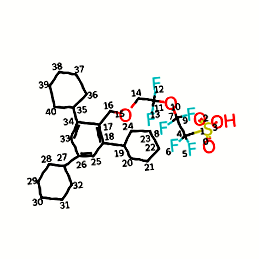 O=S(=O)(O)C(F)(F)C(F)(F)OC(F)(F)COCc1c(C2CCCCC2)cc(C2CCCCC2)cc1C1CCCCC1